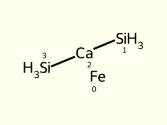 [Fe].[SiH3][Ca][SiH3]